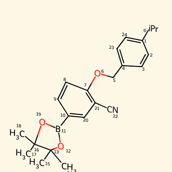 CC(C)c1ccc(COc2ccc(B3OC(C)(C)C(C)(C)O3)cc2C#N)cc1